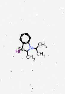 CC(C)N1c2ccccc2[Se]C1C.I